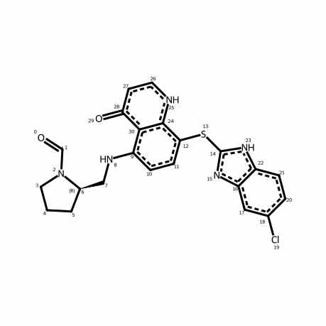 O=[C]N1CCC[C@@H]1CNc1ccc(Sc2nc3cc(Cl)ccc3[nH]2)c2[nH]ccc(=O)c12